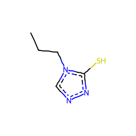 CCCn1cnnc1S